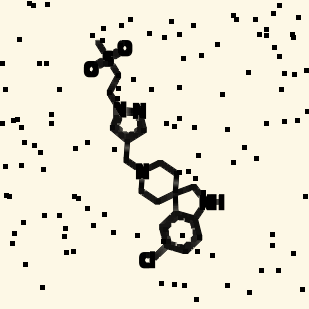 CS(=O)(=O)CCn1cc(CN2CCC3(CC2)CNc2ccc(Cl)cc23)cn1